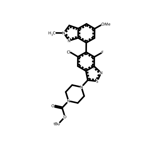 COc1cc(-c2c(Cl)cc3c(N4CCN(C(=O)OC(C)(C)C)CC4)snc3c2F)c2nn(C)cc2c1